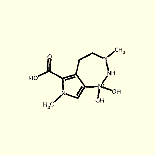 CN1CCc2c(cn(C)c2C(=O)O)[N+](O)(O)N1